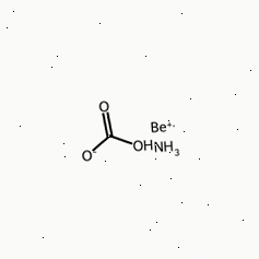 N.O=C([O-])O.[Be+]